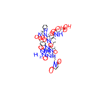 C/C(=C\[C@H](C(C)C)N(C)C(=O)[C@@H](NC(=O)[C@@H](N(C)C(=O)OCc1ccc(N(C(=O)[C@@H](NC(=O)CCCCCN2C(=O)C=CC2=O)C(C)C)[C@@H](CCCNC(N)=O)C(N)=O)cc1)C(C)(C)c1ccccc1)C(C)(C)C)C(=O)N[C@H](CCC(=O)O)C(=O)O